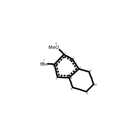 COc1cc2c(cc1C(C)(C)C)CCCC2